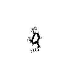 O=Nc1ccc(CO)cc1F